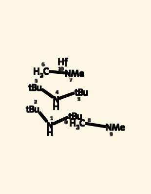 CC(C)(C)NC(C)(C)C.CC(C)(C)NC(C)(C)C.CNC.CNC.[Hf]